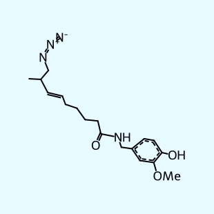 COc1cc(CNC(=O)CCCC/C=C/C(C)CN=[N+]=[N-])ccc1O